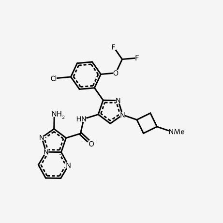 CNC1CC(n2cc(NC(=O)c3c(N)nn4cccnc34)c(-c3cc(Cl)ccc3OC(F)F)n2)C1